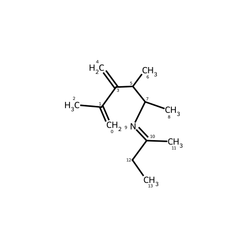 C=C(C)C(=C)C(C)C(C)/N=C(\C)CC